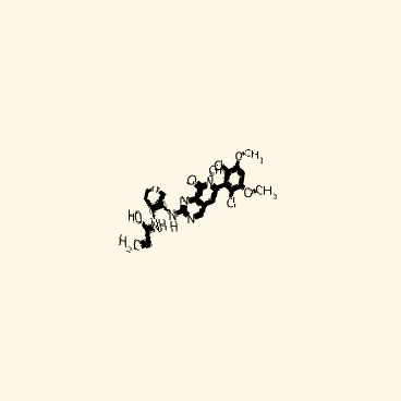 C=CC(O)N[C@H]1CCOC[C@H]1Nc1ncc2cc(-c3c(Cl)c(OC)cc(OC)c3Cl)n(C)c(=O)c2n1